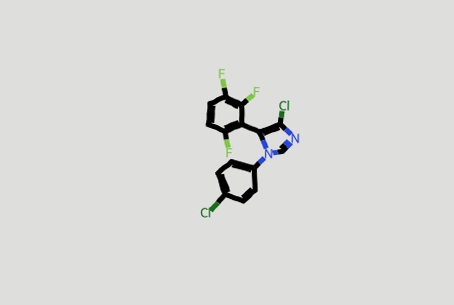 Fc1ccc(F)c(-c2c(Cl)ncn2-c2ccc(Cl)cc2)c1F